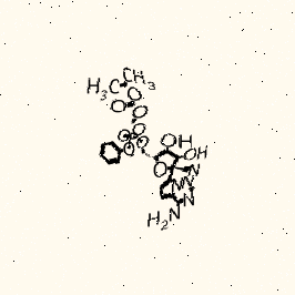 CC(C)OC(=O)OCOP(=O)(OC[C@H]1O[C@@](C#N)(c2ccc3c(N)ncnn23)[C@H](O)[C@@H]1O)Oc1ccccc1